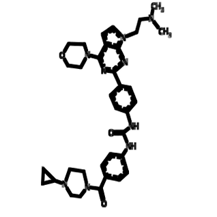 CN(C)CCn1ccc2c(N3CCOCC3)nc(-c3ccc(NC(=O)Nc4ccc(C(=O)N5CCN(C6CC6)CC5)cc4)cc3)nc21